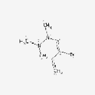 C=C/C(Br)=C\N(C)N(C)C